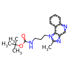 Cc1nc2cnc3ccccc3c2n1CCCNC(=O)OC(C)(C)C